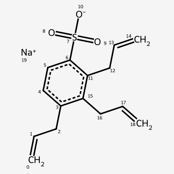 C=CCc1ccc(S(=O)(=O)[O-])c(CC=C)c1CC=C.[Na+]